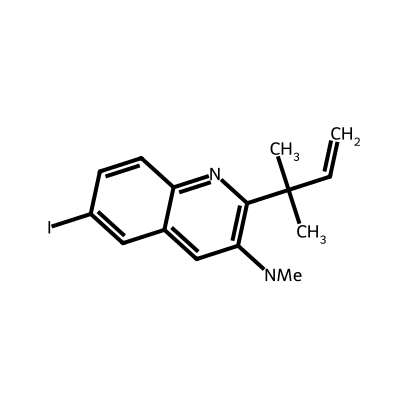 C=CC(C)(C)c1nc2ccc(I)cc2cc1NC